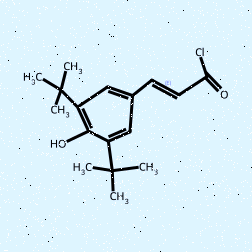 CC(C)(C)c1cc(/C=C/C(=O)Cl)cc(C(C)(C)C)c1O